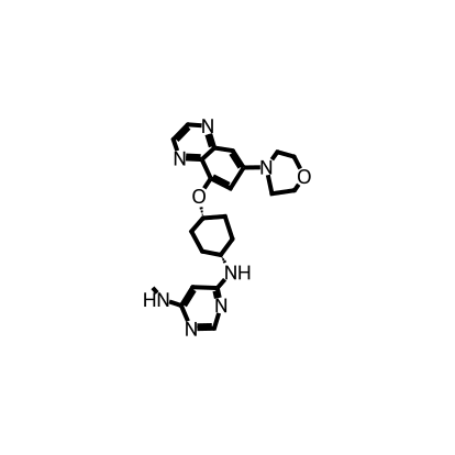 CNc1cc(N[C@H]2CC[C@@H](Oc3cc(N4CCOCC4)cc4nccnc34)CC2)ncn1